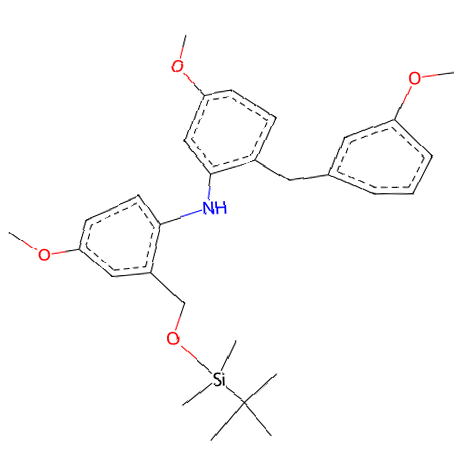 COc1cccc(Cc2ccc(OC)cc2Nc2ccc(OC)cc2CO[Si](C)(C)C(C)(C)C)c1